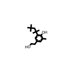 Cc1cc(CCO)cc(C(C)(C)CC(C)(C)C)c1O